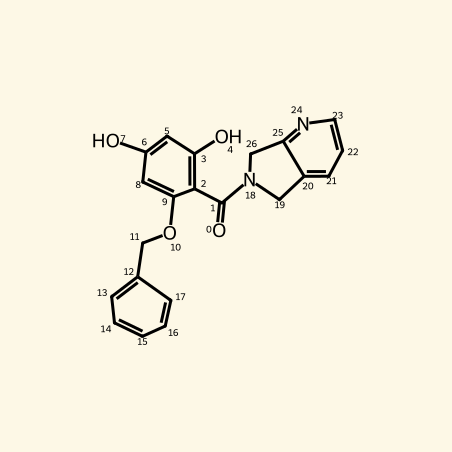 O=C(c1c(O)cc(O)cc1OCc1ccccc1)N1Cc2cccnc2C1